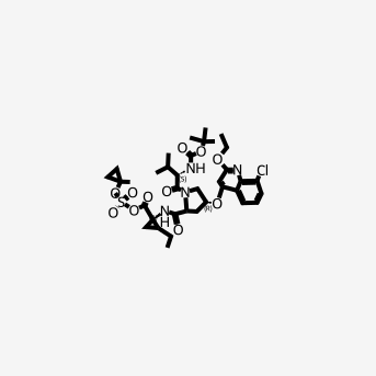 CCOc1cc(O[C@@H]2CC(C(=O)N[C@]3(C(=O)OS(=O)(=O)OC4(C)CC4)CC3CC)N(C(=O)[C@@H](NC(=O)OC(C)(C)C)C(C)C)C2)c2cccc(Cl)c2n1